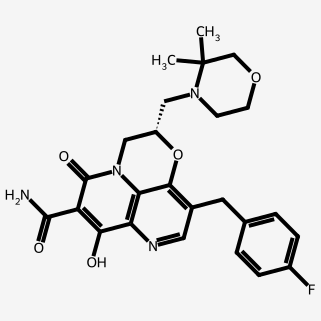 CC1(C)COCCN1C[C@H]1Cn2c(=O)c(C(N)=O)c(O)c3ncc(Cc4ccc(F)cc4)c(c32)O1